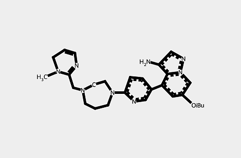 CC(C)COc1cc(-c2ccc(N3CCCN(CC4=NC=CCN4C)CC3)nc2)c2c(N)cnn2c1